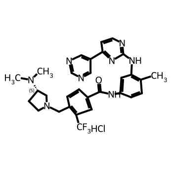 Cc1ccc(NC(=O)c2ccc(CN3CC[C@H](N(C)C)C3)c(C(F)(F)F)c2)cc1Nc1nccc(-c2cncnc2)n1.Cl